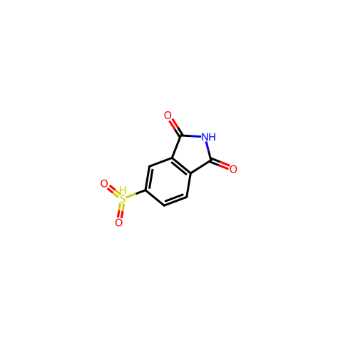 O=C1NC(=O)c2cc([SH](=O)=O)ccc21